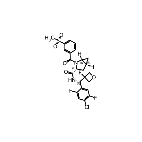 CS(=O)(=O)c1cccc(C(=O)N2[C@@H](C(=O)N[C@@H](c3cc(F)c(Cl)cc3F)C3(F)COC3)C[C@H]3C[C@H]32)c1